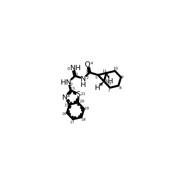 N=C(NC(=O)C1[C@H]2CCCC[C@@H]12)Nc1nc2ccccc2s1